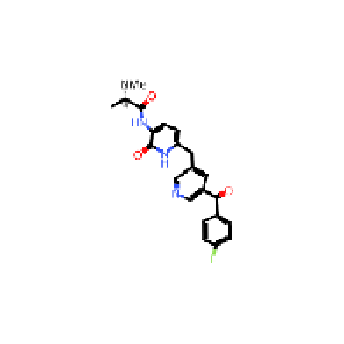 CN[C@@H](C)C(=O)Nc1ccc(Cc2cncc(C(=O)c3ccc(F)cc3)c2)[nH]c1=O